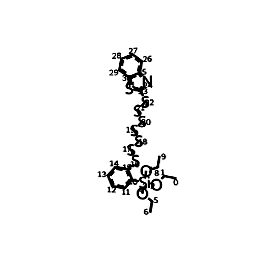 CCO[Si](OCC)(OCC)c1ccccc1SSSSSSSc1nc2ccccc2s1